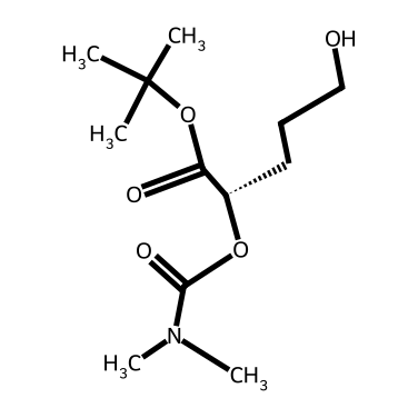 CN(C)C(=O)O[C@@H](CCCO)C(=O)OC(C)(C)C